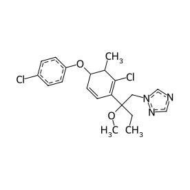 CCC(Cn1cncn1)(OC)C1=C(Cl)C(C)C(Oc2ccc(Cl)cc2)C=C1